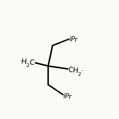 [CH2]C([CH2])(CC(C)C)CC(C)C